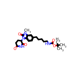 Cn1c(=O)n(C2CCC(=O)NC2=O)c2ccc(CCCCCNC(=O)OC(C)(C)C)cc21